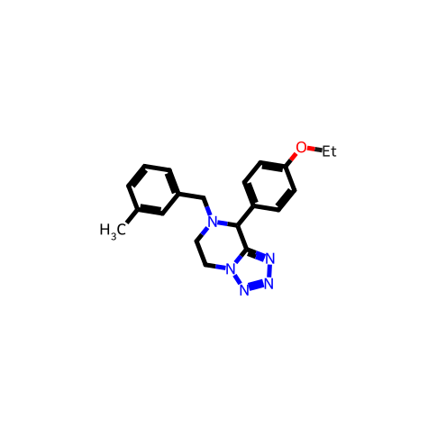 CCOc1ccc(C2c3nnnn3CCN2Cc2cccc(C)c2)cc1